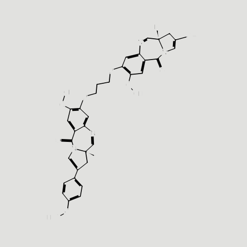 COc1ccc(C2=CN3C(=O)c4cc(OC)c(OCCCOc5cc6c(cc5OC)C(=O)N5C=C(C)C[C@H]5C=N6)cc4N=C[C@@H]3C2)cc1